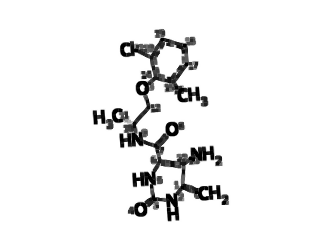 C=C1NC(=O)NC(C(=O)N[C@H](C)COc2c(C)cccc2Cl)=C1N